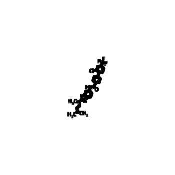 CN(C)CCN(C)c1nc2ccc(NC(=O)c3ccc(-c4ccc(C(F)(F)F)cc4Cl)cc3)cc2s1